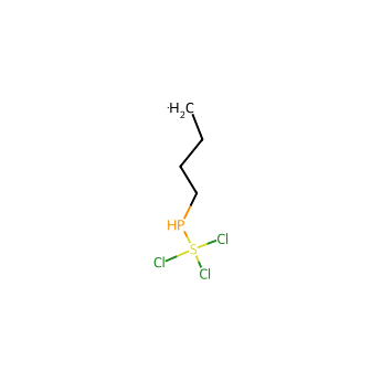 [CH2]CCCPS(Cl)(Cl)Cl